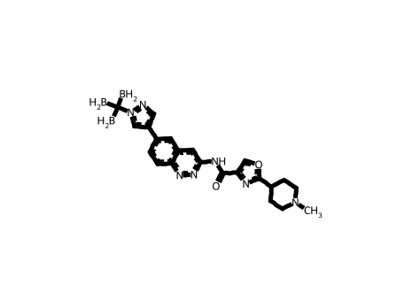 BC(B)(B)n1cc(-c2ccc3nnc(NC(=O)c4coc(C5CCN(C)CC5)n4)cc3c2)cn1